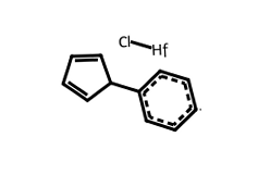 [Cl][Hf].[c]1ccc(C2C=CC=C2)cc1